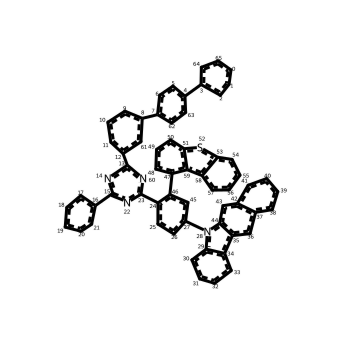 c1ccc(-c2ccc(-c3cccc(-c4nc(-c5ccccc5)nc(-c5ccc(-n6c7ccccc7c7cc8ccccc8cc76)cc5-c5cccc6sc7ccccc7c56)n4)c3)cc2)cc1